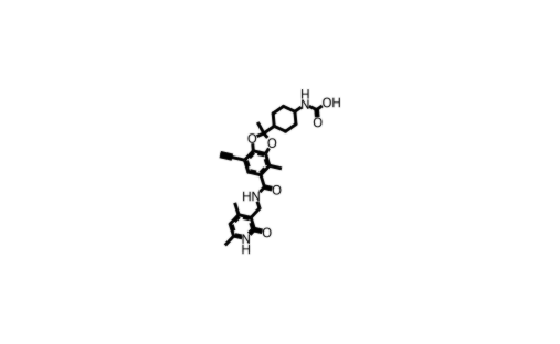 C#Cc1cc(C(=O)NCc2c(C)cc(C)[nH]c2=O)c(C)c2c1OC(C)(C1CCC(NC(=O)O)CC1)O2